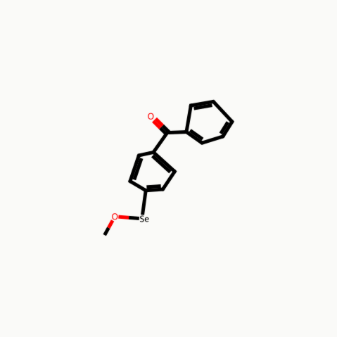 CO[Se]c1ccc(C(=O)c2ccccc2)cc1